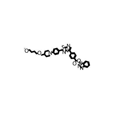 COCCCCOCC1CCN(c2ccc(-c3nn4c(-c5ccc(C(=O)On6nnc7ccccc76)cc5)cnc4s3)cc2)CC1